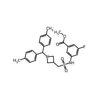 COC(=O)c1cc(F)cc(NS(=O)(=O)CC2CN(C(c3ccc(C)cc3)c3ccc(C)cc3)C2)c1